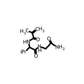 C=C(C)C(=O)NC(C(=O)NCC(N)=O)C(C)C